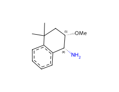 CO[C@H]1CC(C)(C)c2ccccc2[C@H]1N